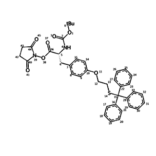 CC(C)(C)OC(=O)N[C@H](Cc1ccc(OCCSC(c2ccccc2)(c2ccccc2)c2ccccc2)cc1)C(=O)ON1C(=O)CCC1=O